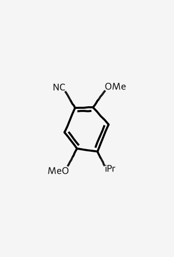 COc1cc(C(C)C)c(OC)cc1C#N